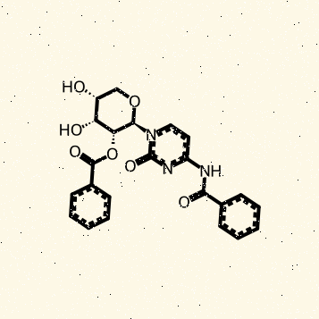 O=C(Nc1ccn([C@@H]2OC[C@@H](O)[C@@H](O)[C@H]2OC(=O)c2ccccc2)c(=O)n1)c1ccccc1